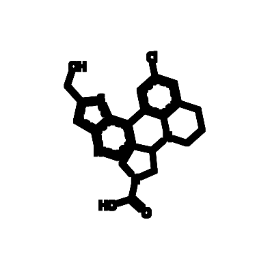 O=C(O)N1CCC(N2CCCc3cc(Cl)cc(-c4ccnc5cc(CO)sc45)c32)C1